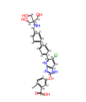 Cc1ccc(Oc2nc3nc(-c4ccc(-c5ccc(CNC(CO)(CO)CO)cc5)cc4)c(Cl)cc3[nH]2)cc1C(=O)O